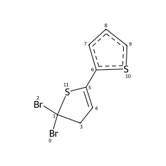 BrC1(Br)CC=C(c2cccs2)S1